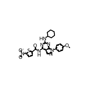 COc1ccc(-n2ncc3c(NC(=O)c4ccc([N+](=O)[O-])s4)nc(NC4CCCCC4)nc32)cc1